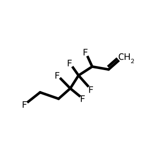 C=CC(F)C(F)(F)C(F)(F)CCF